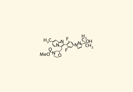 COC(=O)N1CCOC(Cc2c(-c3c(F)cc(-n4ccc(C(C)(C)O)n4)cc3F)nc3cc(C)ccn23)C1